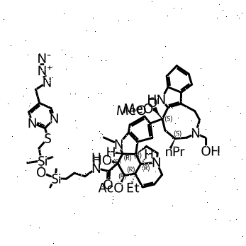 CCC[C@@H]1CN(CO)CCc2c([nH]c3ccccc23)[C@@](C(=O)OC)(c2cc3c(cc2OC)N(C)[C@H]2[C@@](O)(C(=O)NCCC[Si](C)(C)O[Si](C)(C)CSc4ncc(CN=[N+]=[N-])cn4)[C@H](OC(C)=O)[C@]4(CC)C=CCN5CC[C@]32[C@@H]54)C1